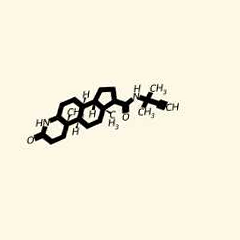 C#CC(C)(C)NC(=O)C1CC[C@H]2[C@@H]3CCC4NC(=O)CC[C@]4(C)[C@@H]3CC[C@]12C